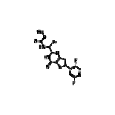 CC(C)C(NC(=O)OC(C)(C)C)c1nc2cc(-c3cc(F)ncc3F)sc2c(=O)[nH]1